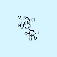 C=C/C(=N\N(C)/C(Cl)=C\NC)c1c[nH]c(=O)[nH]c1=O